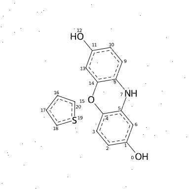 Oc1ccc2c(c1)Nc1ccc(O)cc1O2.c1ccsc1